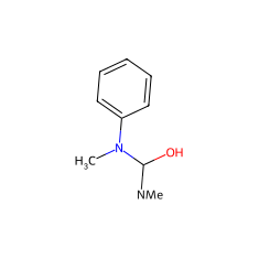 CNC(O)N(C)c1ccccc1